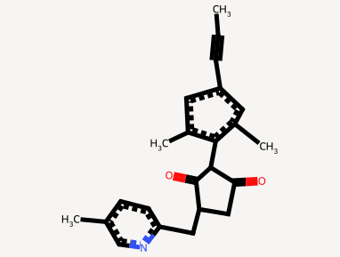 CC#Cc1cc(C)c(C2C(=O)CC(Cc3ccc(C)cn3)C2=O)c(C)c1